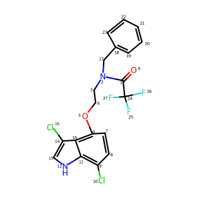 O=C(N(CCOc1ccc(Cl)c2[nH]cc(Cl)c12)Cc1ccccc1)C(F)(F)F